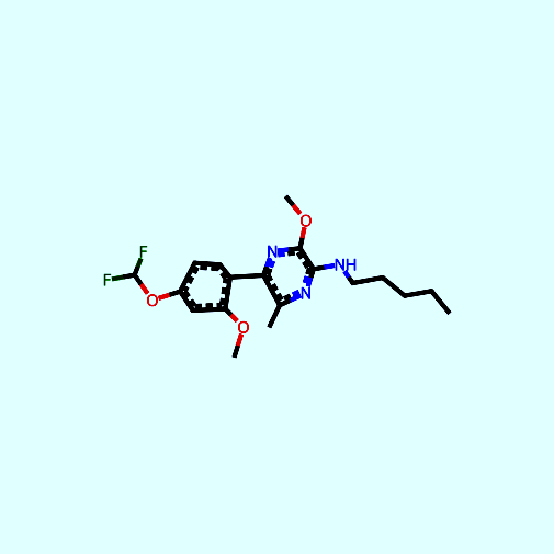 CCCCCNc1nc(C)c(-c2ccc(OC(F)F)cc2OC)nc1OC